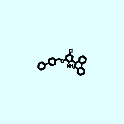 Nc1c(OCc2ccc(-c3ccccc3)cc2)cc(Cl)cc1-c1cc2ccccc2c2ccccc12